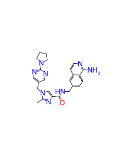 Cc1nc(C(=O)NCc2ccc3c(N)nccc3c2)cn1Cc1cnc(N2CCCC2)nc1